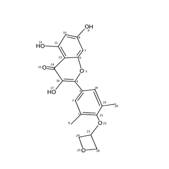 Cc1cc(-c2oc3cc(O)cc(O)c3c(=O)c2O)cc(C)c1OC1COC1